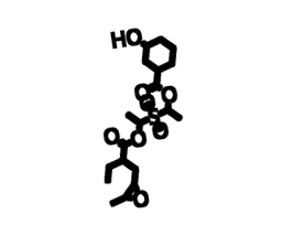 CCC(CC1OC1C)C(=O)OC(C)S(=O)(=O)C(C)OC(=O)C1CCCC(O)C1